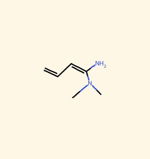 C=C/C=C(/N)N(C)C